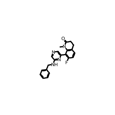 CN1C(=O)CCc2ccc(F)c(-c3cncc(NCc4ccccc4)n3)c21